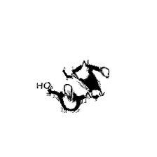 CCn1cnc(=O)c2ncn(C3CCC(CO)O3)c21